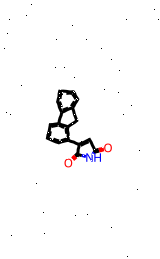 O=C1C=C(c2cccc3c2Cc2ccccc2-3)C(=O)N1